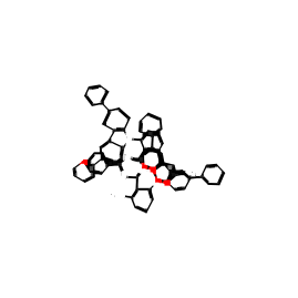 N#Cc1cccc(-c2cccc(-n3c4ccc(-c5ccccc5)cc4c4cc(-c5ccccc5)ccc43)c2-c2nc(-c3ccccc3)nc(-c3c(C#N)cccc3-n3c4ccc(-c5ccccc5)cc4c4cc(-c5ccccc5)ccc43)n2)c1